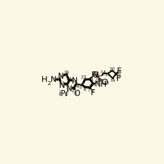 CC(C)n1c(=O)c(-c2cc(F)c(NS(=O)(=O)CC3CC(F)(F)C3)c(F)c2)nc2cnc(N)nc21